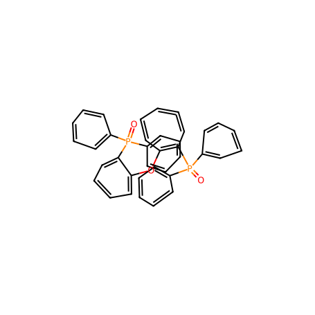 O=P(C1=C(Oc2ccccc2P(=O)(c2ccccc2)c2ccccc2)C=CC=C=C1)(c1ccccc1)c1ccccc1